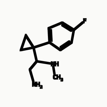 CNC(CN)C1(c2ccc(F)cc2)CC1